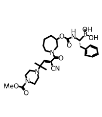 COC(=O)N1CCN(C(C)(C)C=C(C#N)C(=O)N2CCCCC(OC(=O)N[C@@H](Cc3ccccc3)B(O)O)C2)CC1